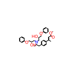 COC(=O)C=C(C)c1ccc(C[C@@H](C)N(C[C@H](O)COc2ccccc2)C[C@H](O)COc2ccccc2)cc1